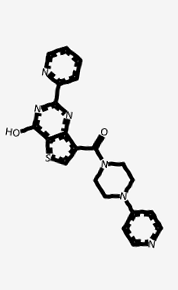 O=C(c1csc2c(O)nc(-c3ccccn3)nc12)N1CCN(c2ccncc2)CC1